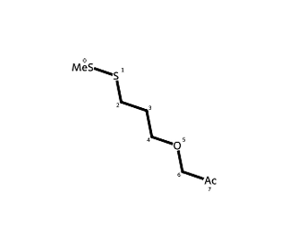 CSSCCCOCC(C)=O